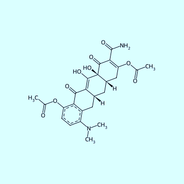 CC(=O)OC1=C(C(N)=O)C(=O)[C@@]2(O)C(O)=C3C(=O)c4c(OC(C)=O)ccc(N(C)C)c4C[C@H]3C[C@H]2C1